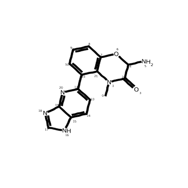 CN1C(=O)C(N)Oc2cccc(-c3ccc4[nH]cnc4n3)c21